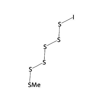 CSSSSSSI